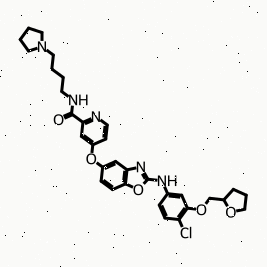 O=C(NCCCCN1CCCC1)c1cc(Oc2ccc3oc(Nc4ccc(Cl)c(OCC5CCCO5)c4)nc3c2)ccn1